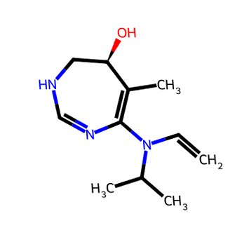 C=CN(C1=C(C)[C@H](O)CNC=N1)C(C)C